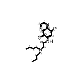 CCCCN(CCCC)CCNC1=CC(=O)c2nccnc2C1=O